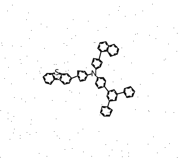 c1ccc(-c2cc(-c3ccccc3)cc(-c3ccc(N(c4ccc(-c5ccc6c(c5)sc5ccccc56)cc4)c4ccc(-c5cccc6ccccc56)cc4)cc3)c2)cc1